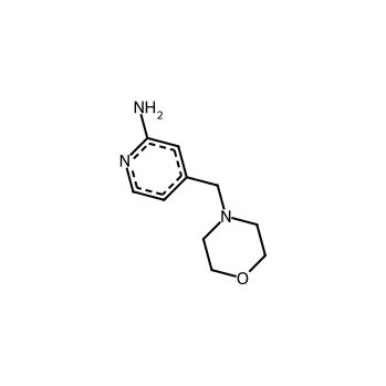 Nc1cc(CN2CCOCC2)ccn1